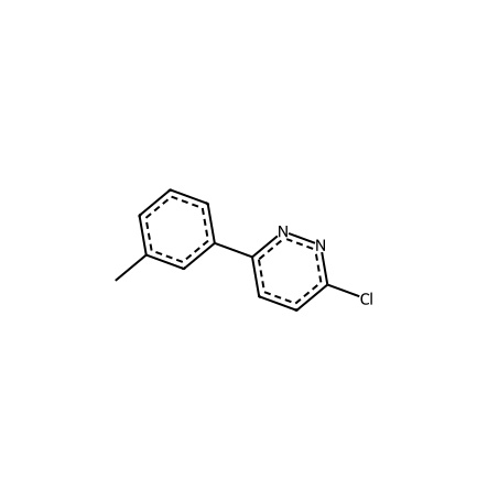 Cc1cccc(-c2ccc(Cl)nn2)c1